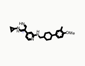 COc1ccc(C2CCC(CNc3cc(/C(C=N)=C/NC4CC4)ccn3)CC2)cc1C